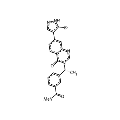 CNC(=O)c1cccc([C@@H](C)n2cnc3cc(-c4cn[nH]c4Br)ccc3c2=O)c1